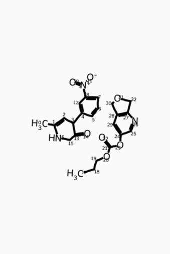 CC1=CC(c2cccc([N+](=O)[O-])c2)C(=O)CN1.CCCOC(=O)Oc1cnc2c(c1)COC2